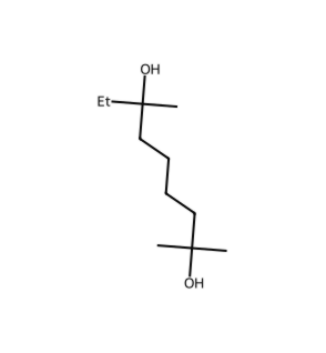 CCC(C)(O)CCCCC(C)(C)O